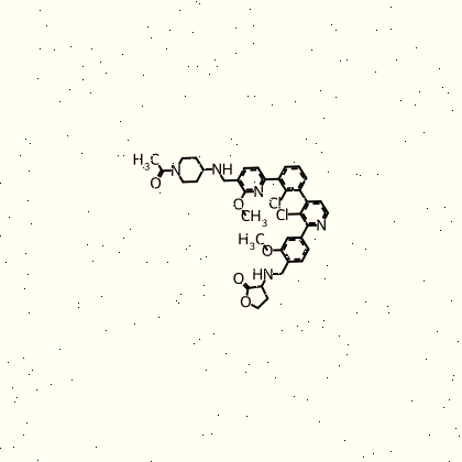 COc1cc(-c2nccc(-c3cccc(-c4ccc(CNC5CCN(C(C)=O)CC5)c(OC)n4)c3Cl)c2Cl)ccc1CNC1CCOC1=O